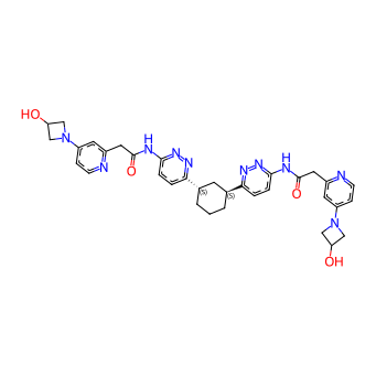 O=C(Cc1cc(N2CC(O)C2)ccn1)Nc1ccc([C@H]2CCC[C@H](c3ccc(NC(=O)Cc4cc(N5CC(O)C5)ccn4)nn3)C2)nn1